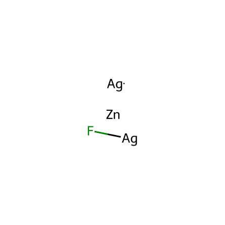 [Ag].[F][Ag].[Zn]